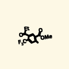 CCC(=O)c1cc(C(=O)OC)c(C)cc1C(F)(F)F